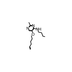 C=CCCCCOc1cnc(C)nc1NCCCC